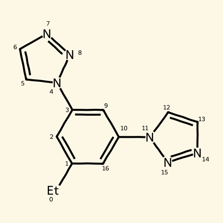 CCc1cc(-n2ccnn2)cc(-n2ccnn2)c1